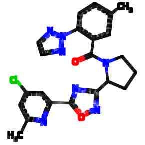 Cc1ccc(-n2nccn2)c(C(=O)N2CCCC2c2noc(-c3cc(Cl)cc(C)n3)n2)c1